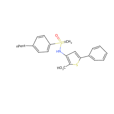 C=S(=O)(Nc1cc(-c2ccccc2)sc1C(=O)O)c1ccc(CCCCC)cc1